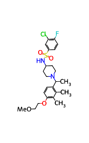 COCCOc1ccc(C(C)N2CCC(NS(=O)(=O)c3ccc(F)c(Cl)c3)CC2)c(C)c1C